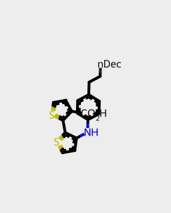 CCCCCCCCCCCCc1ccc(Nc2ccsc2-c2sccc2C(=O)O)cc1